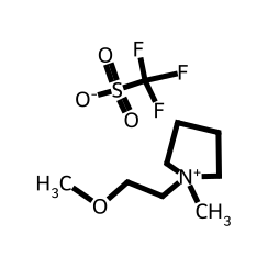 COCC[N+]1(C)CCCC1.O=S(=O)([O-])C(F)(F)F